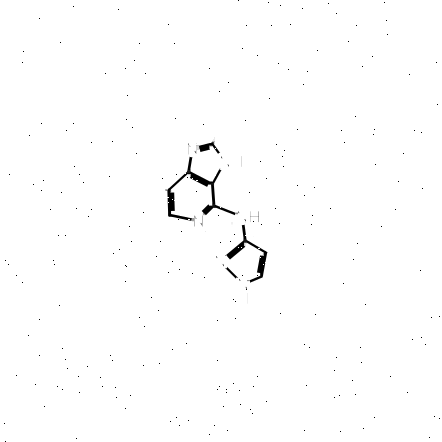 c1cc2nc[nH]c2c(Nc2cc[nH]n2)n1